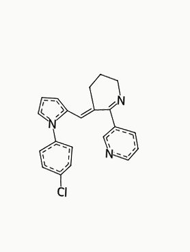 Clc1ccc(-n2cccc2C=C2CCCN=C2c2cccnc2)cc1